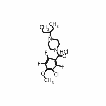 CCC(CC)N1CCN(C(=O)c2c(F)c(F)c(OC)c(Cl)c2F)CC1.Cl